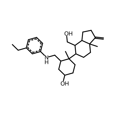 C=C1CCC2C(CO)C(C3(C)CCC(O)CC3CNc3cccc(CC)c3)CCC12C